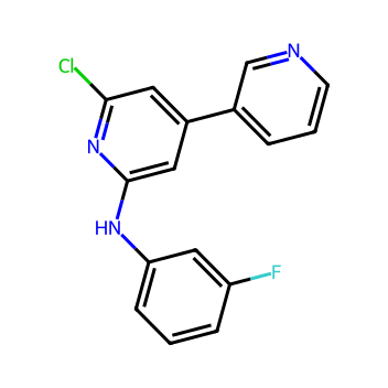 Fc1cccc(Nc2cc(-c3cccnc3)cc(Cl)n2)c1